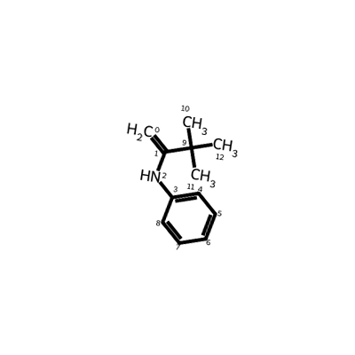 C=C(Nc1ccccc1)C(C)(C)C